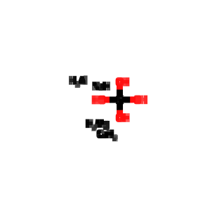 O[Si](O)(O)O.[AlH3].[CaH2].[MgH2].[NaH]